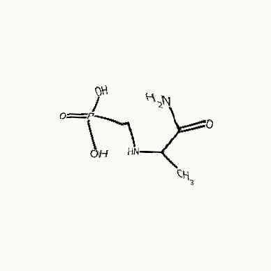 CC(NCP(=O)(O)O)C(N)=O